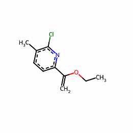 C=C(OCC)c1ccc(C)c(Cl)n1